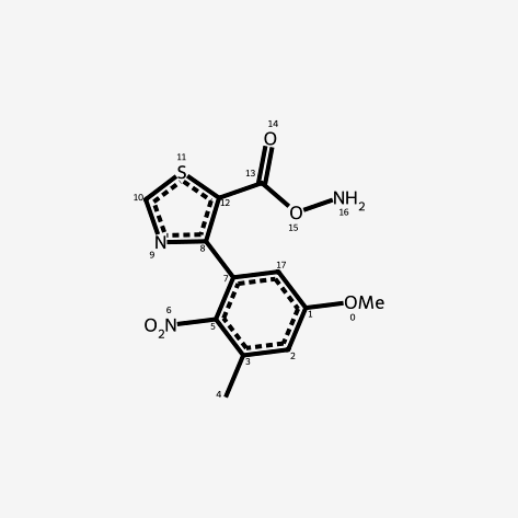 COc1cc(C)c([N+](=O)[O-])c(-c2ncsc2C(=O)ON)c1